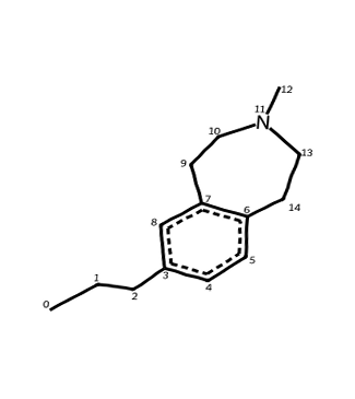 CCCc1ccc2c(c1)CCN(C)CC2